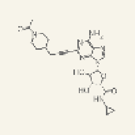 CC(=O)N1CCC(CC#Cc2nc(N)c3ncn([C@@H]4O[C@H](C(=O)NC5CC5)[C@H](O)C4O)c3n2)CC1